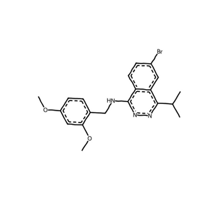 COc1ccc(CNc2nnc(C(C)C)c3cc(Br)ccc23)c(OC)c1